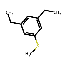 CCc1cc(CC)cc(SC)c1